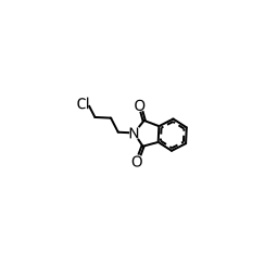 O=C1c2ccccc2C(=O)N1CCCCl